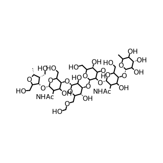 CC(=O)NC1C(O)[C@H](O[C@@H]2OC(C)C(O)[C@H](O)C2O)C(CO)O[C@H]1OC1C(O)[C@H](O)C(CO)O[C@@H]1O[C@@H]1C(O)[C@H](O[C@@H]2C(CO)O[C@@H](O[C@@H]3C(CO)O[C@H](C)[C@@H]3CO)C(NC(C)=O)C2O)OC(COCO)[C@H]1O